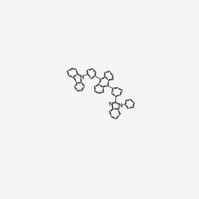 c1ccc(-n2c(-c3cccc(-c4c5ccccc5c(-c5cccc(-n6c7ccccc7c7ccccc76)c5)c5ccccc45)c3)nc3ccccc32)cc1